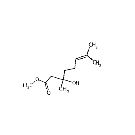 COC(=O)CC(C)(O)CCC=C(C)C